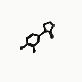 O=C1OCCN1c1ccc(Br)c(F)c1